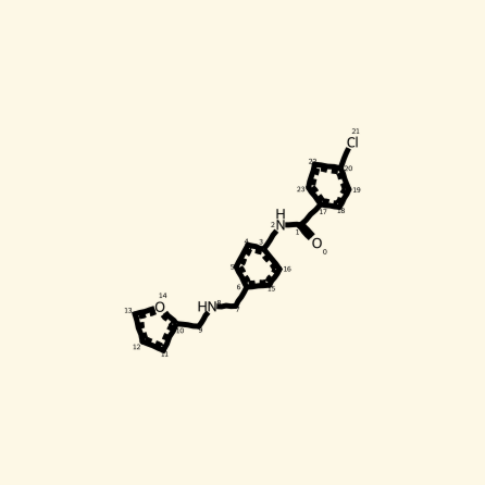 O=C(Nc1ccc(CNCc2ccco2)cc1)c1ccc(Cl)cc1